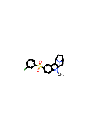 Cn1c2c(c3cc(S(=O)(=O)c4cccc(Cl)c4)ccc31)C1CCC(C2)N1